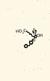 O=C(O)CCCC=CCC1C(OCc2ccc(Cc3ccccc3)cc2)CC(O)C1N1CCSCC1